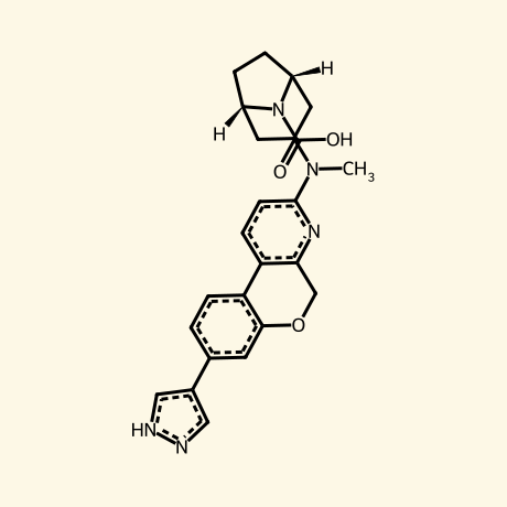 CN(c1ccc2c(n1)COc1cc(-c3cn[nH]c3)ccc1-2)C1C[C@H]2CC[C@@H](C1)N2C(=O)O